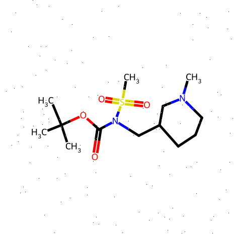 CN1CCCC(CN(C(=O)OC(C)(C)C)S(C)(=O)=O)C1